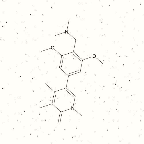 C=C1C(C)=C(C)C(c2cc(OC)c(CN(C)C)c(OC)c2)=CN1C